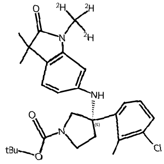 [2H]C([2H])([2H])N1C(=O)C(C)(C)c2ccc(N[C@]3(c4cccc(Cl)c4C)CCN(C(=O)OC(C)(C)C)C3)cc21